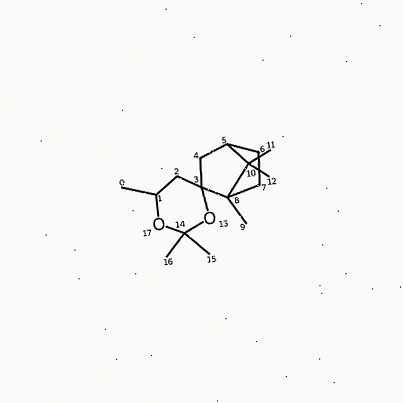 CC1CC2(CC3CCC2(C)C3(C)C)OC(C)(C)O1